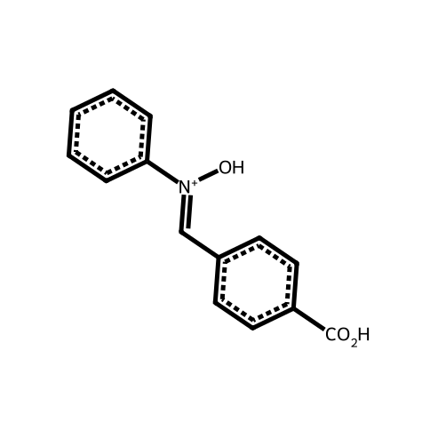 O=C(O)c1ccc(C=[N+](O)c2ccccc2)cc1